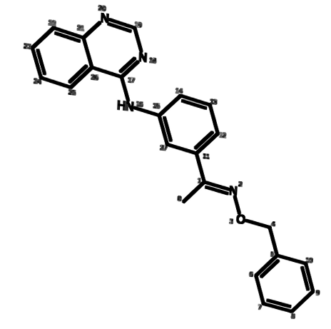 CC(=NOCc1ccccc1)c1cccc(Nc2ncnc3ccccc23)c1